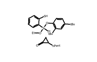 CCCCCC1CC1=O.CCO[Si](CC)(Oc1ccc(C(C)(C)C)cc1C(C)(C)C)c1ccccc1S